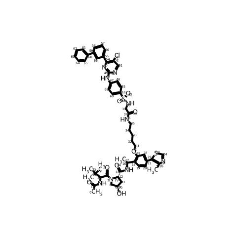 CC(=O)NC(C(=O)N1C[C@H](O)C[C@H]1C(=O)NC(C)c1ccc(-c2scnc2C)cc1OCCCCCNC(=O)CNS(=O)(=O)c1ccc(Nc2ncc(Cl)c(-c3cccc(-c4ccccc4)c3)n2)cc1)C(C)(C)C